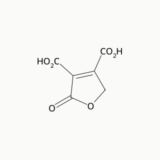 O=C(O)C1=C(C(=O)O)C(=O)OC1